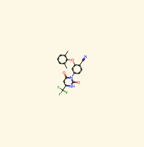 Cc1cccc(C)c1Oc1cc(-n2c(=O)cc(C(F)(F)F)[nH]c2=O)ccc1C#N